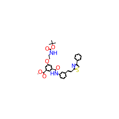 COC(=O)c1cc(OCCNC(=O)OC(C)(C)C)cc(C(=O)Nc2cccc(C=Cc3nc(-c4ccccc4)cs3)c2)c1